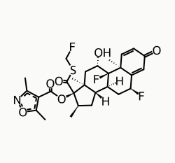 Cc1noc(C)c1C(=O)O[C@]1(C(=O)SCF)[C@H](C)C[C@H]2[C@@H]3C[C@H](F)C4=CC(=O)C=C[C@]4(C)[C@@]3(F)[C@@H](O)C[C@@]21C